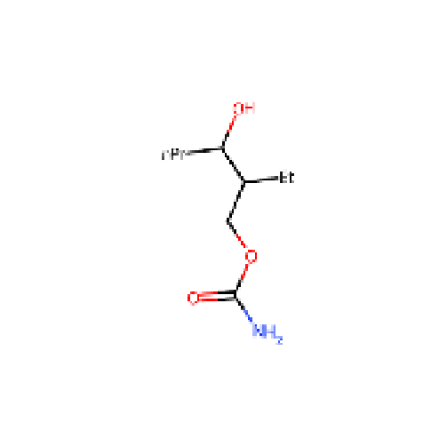 CCCC(O)C(CC)COC(N)=O